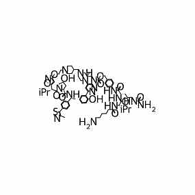 Cc1ncsc1-c1ccc([C@H](C)NC(=O)[C@@H]2C[C@@H](O)CN2C(=O)[C@@H](c2cc(OCCN3CCC(CN4CCN5c6cc(-c7ccccc7O)nnc6N(C(=O)OCc6ccc(NC(=O)[C@H](CCCNC(N)=O)NC(=O)[C@@H](NC(=O)CCCCCN)C(C)C)cc6)C[C@H]5C4)CC3)no2)C(C)C)cc1